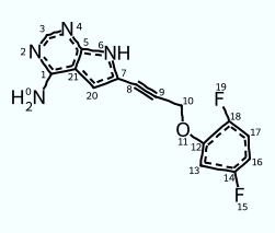 Nc1ncnc2[nH]c(C#CCOc3cc(F)ccc3F)cc12